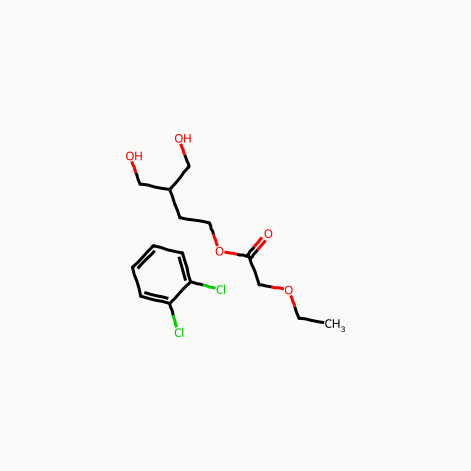 CCOCC(=O)OCCC(CO)CO.Clc1ccccc1Cl